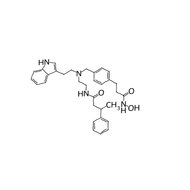 CC(CC(=O)NCCN(CCc1c[nH]c2ccccc12)Cc1ccc(CCC(=O)NO)cc1)c1ccccc1